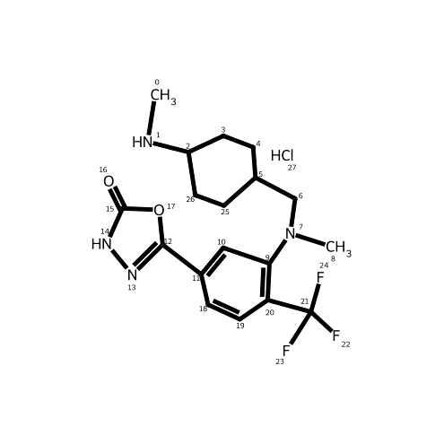 CNC1CCC(CN(C)c2cc(-c3n[nH]c(=O)o3)ccc2C(F)(F)F)CC1.Cl